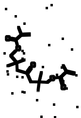 C=C(C)C(=O)OCC(C)(C)CC(=O)CC(C)(C)COC(=O)C(=C)C